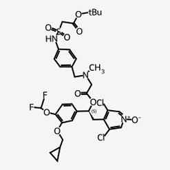 CN(CC(=O)O[C@@H](Cc1c(Cl)c[n+]([O-])cc1Cl)c1ccc(OC(F)F)c(OCC2CC2)c1)Cc1ccc(NS(=O)(=O)CC(=O)OC(C)(C)C)cc1